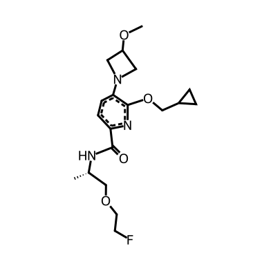 COC1CN(c2ccc(C(=O)N[C@@H](C)COCCF)nc2OCC2CC2)C1